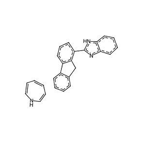 C1=CC=CNC=C1.c1ccc2c(c1)Cc1c(-c3nc4ccccc4[nH]3)cccc1-2